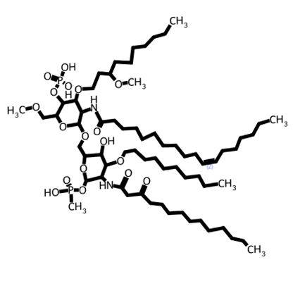 CCCCCC/C=C\CCCCCCCCCC(=O)NC1C(OCC2OC(OP(C)(=O)O)C(NC(=O)CC(=O)CCCCCCCCCCC)C(OCCCCCCCCCC)C2O)OC(COC)C(OP(=O)(O)O)C1OCCC(CCCCCCC)OC